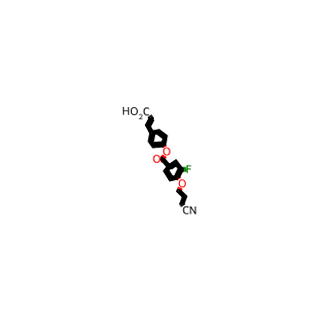 N#CCCCOc1ccc(C(=O)Oc2ccc(/C=C/C(=O)O)cc2)cc1F